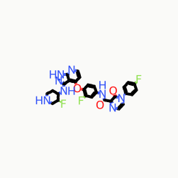 O=C(Nc1ccc(Oc2ccnc3[nH]nc(NC4CCNC[C@@H]4F)c23)c(F)c1)c1nccn(-c2ccc(F)cc2)c1=O